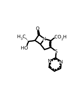 C[C@@H](O)C1C(=O)N2C(C(=O)O)=C(Sc3ncccn3)CC12